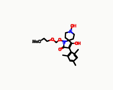 COCCOCON1C(=O)C(c2c(C)cc(C)cc2C)=C(O)C12CCN(O)CC2